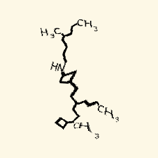 CC=CCC(CCC1CC(NCCC=CC(C)CCC)C1)CCC(C)C1CCC1